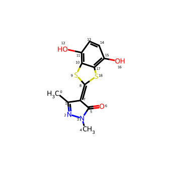 CC1=NN(C)C(=O)C1=C1Sc2c(O)ccc(O)c2S1